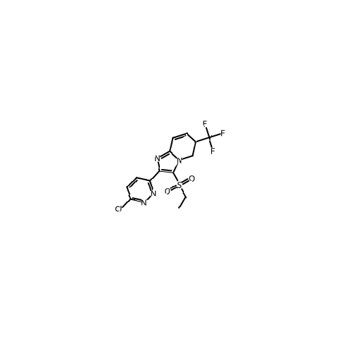 CCS(=O)(=O)c1c(-c2ccc(Cl)nn2)nc2n1CC(C(F)(F)F)C=C2